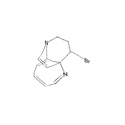 BrC1CCN2C=CC13N=CC=CC=C23